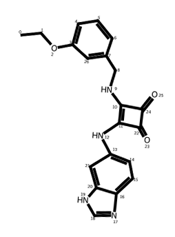 CCOc1cccc(CNc2c(Nc3ccc4nc[nH]c4c3)c(=O)c2=O)c1